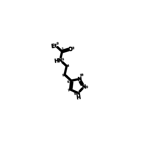 CCC(=O)NCCc1c[nH]nn1